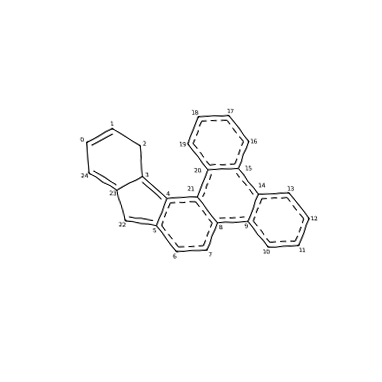 C1=CCC2=c3c(ccc4c5ccccc5c5ccccc5c34)=CC2=C1